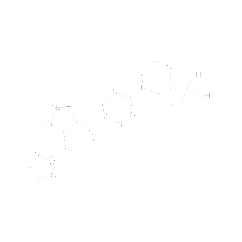 CC(C)(C)[C@@H]1CN(c2ncc(-c3ccc(-n4nccn4)c4[nH]ncc34)nn2)CCN1